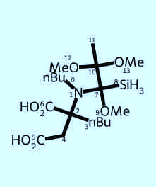 CCCCN(C(CCCC)(CC(=O)O)C(=O)O)C([SiH3])(OC)C(C)(OC)OC